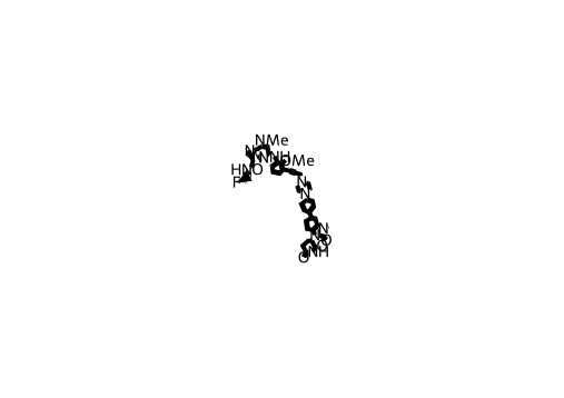 CNc1cc(Nc2cccc(C#CCN3CCN(c4ccc(-c5ccc6c(c5)n(C)c(=O)n6C5CCC(=O)NC5=O)cc4)CC3)c2OC)nn2c(C(=O)N[C@@H]3C[C@@H]3F)cnc12